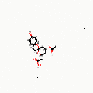 CC(=O)O[C@@H]1C[C@H](CC(=O)O)O[C@@]2(CCC3(C=CC(=O)C=C3)O2)C1